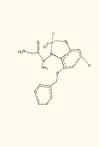 CN(C(=O)CN)N1c2c(OCc3ccccc3)cc(Cl)cc2SC1(C)Cl